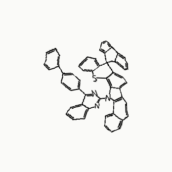 c1ccc(-c2ccc(-c3nc(-n4c5c6c(ccc5c5ccc7ccccc7c54)C4(c5ccccc5S6)c5ccccc5-c5ccccc54)nc4ccccc34)cc2)cc1